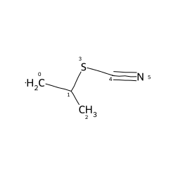 [CH2]C(C)SC#N